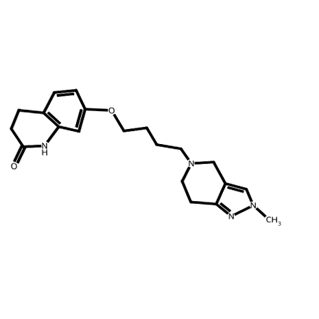 Cn1cc2c(n1)CCN(CCCCOc1ccc3c(c1)NC(=O)CC3)C2